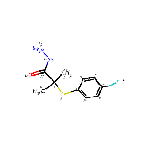 CC(C)(Sc1ccc(F)cc1)C(=O)NN